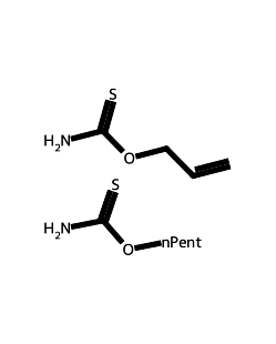 C=CCOC(N)=S.CCCCCOC(N)=S